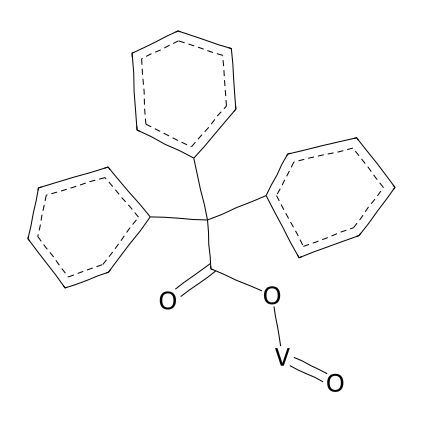 [O]=[V][O]C(=O)C(c1ccccc1)(c1ccccc1)c1ccccc1